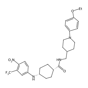 CCOc1ccc(N2CCC(CNC(=O)[C@H]3CC[C@@H](Nc4ccc([N+](=O)[O-])c(C(F)(F)F)c4)CC3)CC2)cc1